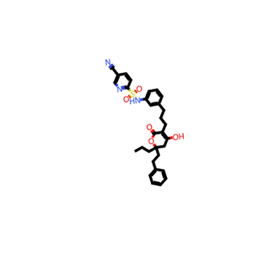 CCCC1(CCc2ccccc2)CC(O)=C(CCCc2cccc(NS(=O)(=O)c3ccc(C#N)cn3)c2)C(=O)O1